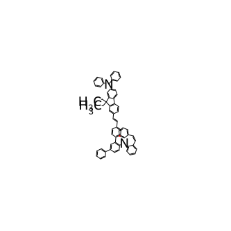 CCC1(CC)c2cc(/C=C/c3ccc(-c4cc(-c5ccccc5)ccc4N4c5ccccc5C=Cc5ccccc54)cc3)ccc2-c2ccc(N(c3ccccc3)c3ccccc3)cc21